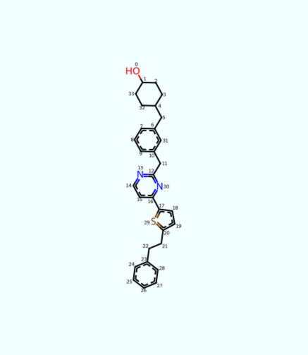 OC1CCC(Cc2cccc(Cc3nccc(-c4ccc(CCc5ccccc5)s4)n3)c2)CC1